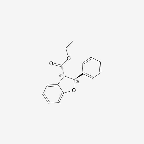 CCOC(=O)[C@H]1c2ccccc2O[C@@H]1c1ccccc1